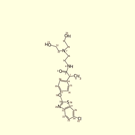 CC(C(=O)NCCN(CCO)CCO)c1ccc(Oc2nc3ccc(Cl)cc3s2)cc1